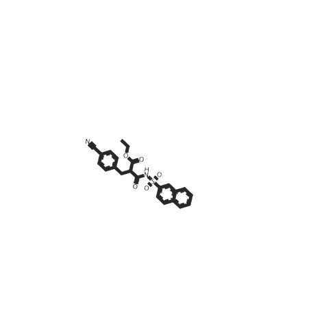 CCOC(=O)C(Cc1ccc(C#N)cc1)C(=O)NS(=O)(=O)c1ccc2ccccc2c1